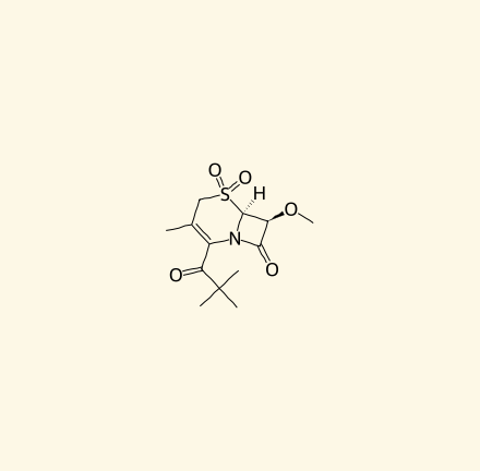 CO[C@H]1C(=O)N2C(C(=O)C(C)(C)C)=C(C)CS(=O)(=O)[C@@H]12